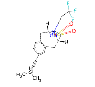 C[SiH](C)C#Cc1ccc2c(c1)C[C@H]1CC[C@@H](C2)[C@]12CN(CC(F)(F)F)S(=O)(=O)N2